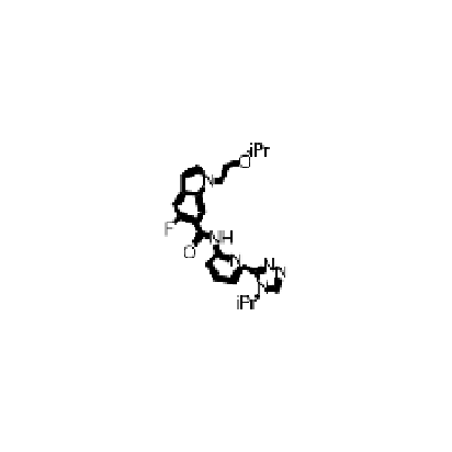 CC(C)OCCn1ccc2cc(F)c(C(=O)Nc3cccc(-c4nncn4C(C)C)n3)cc21